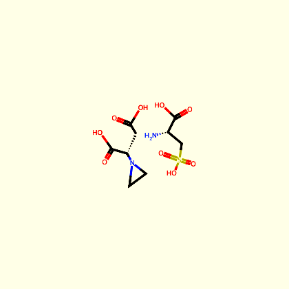 N[C@@H](CS(=O)(=O)O)C(=O)O.O=C(O)C[C@@H](C(=O)O)N1CC1